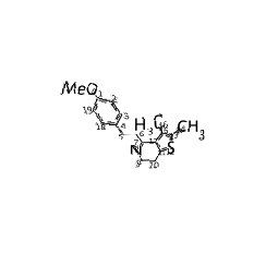 COc1ccc(CCC2=NCCc3sc(C)c(C)c32)cc1